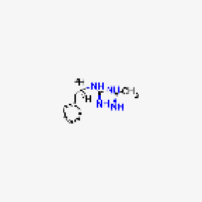 [2H]C([2H])(Cc1ccccc1)NC(=N)NC(C)=N